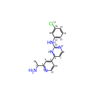 CC(N)c1cc(-c2ccnc(Nc3cccc(Cl)c3)n2)ccn1